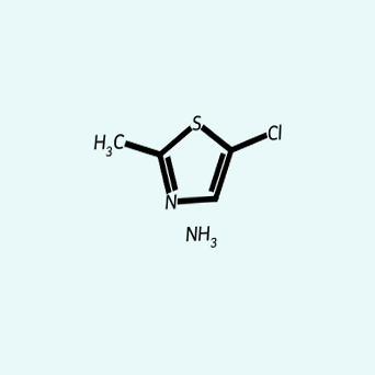 Cc1ncc(Cl)s1.N